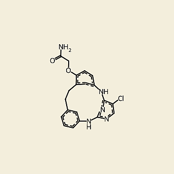 NC(=O)COc1ccc2cc1CCc1cccc(c1)Nc1ncc(Cl)c(n1)N2